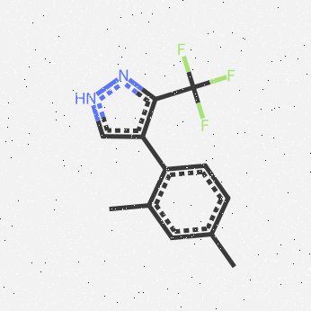 Cc1ccc(-c2c[nH]nc2C(F)(F)F)c(C)c1